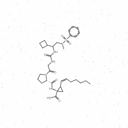 CCCCC/C=C\C1C[C@]1(NC(=O)[C@@H]1CCCN1C(=O)CNC(=O)NC(CN(C)S(=O)(=O)c1ccccc1)C1CCC1)C(=O)O